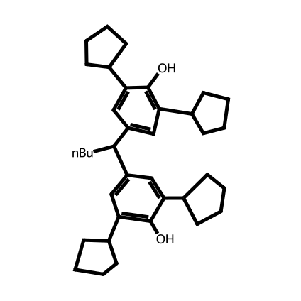 CCCCC(c1cc(C2CCCC2)c(O)c(C2CCCC2)c1)c1cc(C2CCCC2)c(O)c(C2CCCC2)c1